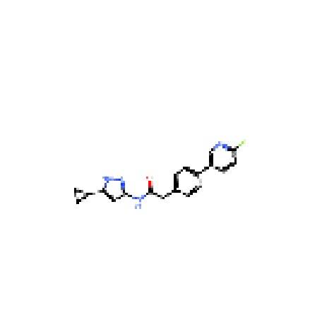 O=C(Cc1ccc(-c2ccc(F)nc2)cc1)Nc1cc(C2CC2)[nH]n1